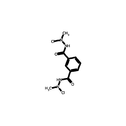 CN(Cl)NC(=O)c1cccc(C(=O)NN(C)Cl)c1